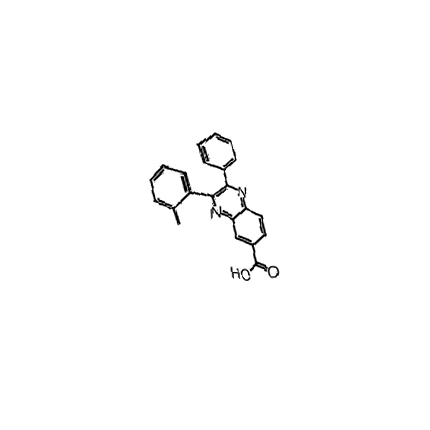 Cc1ccccc1-c1nc2cc(C(=O)O)ccc2nc1-c1ccccc1